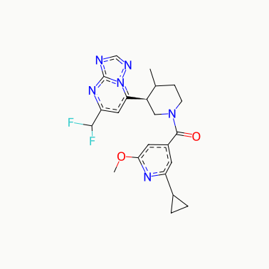 COc1cc(C(=O)N2CCC(C)[C@H](c3cc(C(F)F)nc4ncnn34)C2)cc(C2CC2)n1